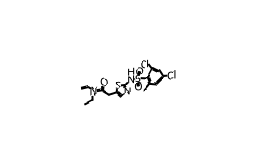 CCN(CC)C(=O)Cc1cnc(NS(=O)(=O)c2c(C)cc(Cl)cc2Cl)s1